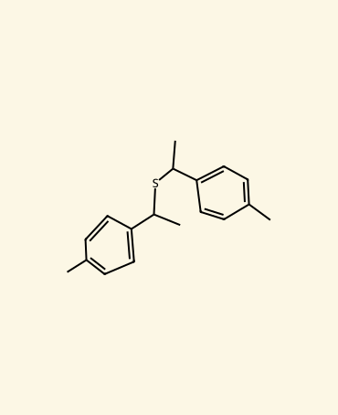 Cc1ccc(C(C)SC(C)c2ccc(C)cc2)cc1